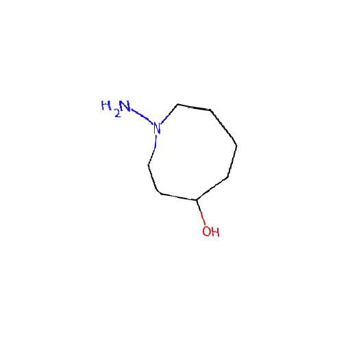 NN1CCCCC(O)CC1